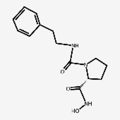 O=C(NO)[C@H]1CCCN1C(=O)NCCc1ccccc1